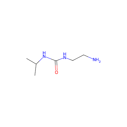 CC(C)NC(=O)NCCN